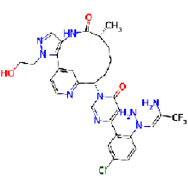 C[C@@H]1CCC[C@H](n2cnc(-c3cc(Cl)ccc3N(N)/C=C(\N)C(F)(F)F)cc2=O)c2cc(ccn2)-c2c(cnn2CCO)NC1=O